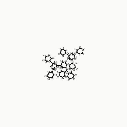 c1ccc(-c2nc(-c3ccccc3)nc(-c3ccc4c(c3)C3(c5ccccc5-4)c4ccccc4-c4c(-c5nc(-c6ccccc6)nc(-c6ccccc6)n5)cccc43)n2)cc1